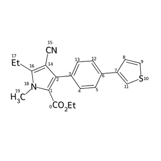 CCOC(=O)c1c(-c2ccc(-c3ccsc3)cc2)c(C#N)c(CC)n1C